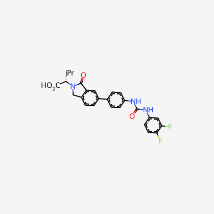 CC(C)[C@@H](C(=O)O)N1Cc2ccc(-c3ccc(NC(=O)Nc4ccc(F)c(F)c4)cc3)cc2C1=O